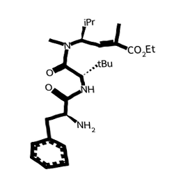 CCOC(=O)/C(C)=C/[C@H](C(C)C)N(C)C(=O)[C@@H](NC(=O)[C@@H](N)Cc1ccccc1)C(C)(C)C